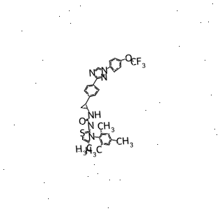 Cc1cc(C)c(-n2c(C)cs/c2=N\C(=O)NC2CC2c2ccc(-c3ncn(-c4ccc(OC(F)(F)F)cc4)n3)cc2)c(C)c1